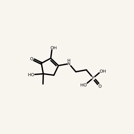 CC1(O)CC(NCCP(=O)(O)O)=C(O)C1=O